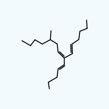 CCCC=CC(C=CCCCC)=CCC(C)CCCC